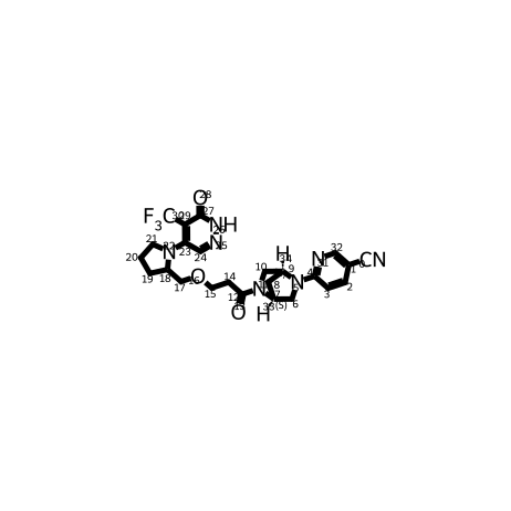 N#Cc1ccc(N2C[C@@H]3C[C@H]2CN3C(=O)CCOCC2CCCN2c2cn[nH]c(=O)c2C(F)(F)F)nc1